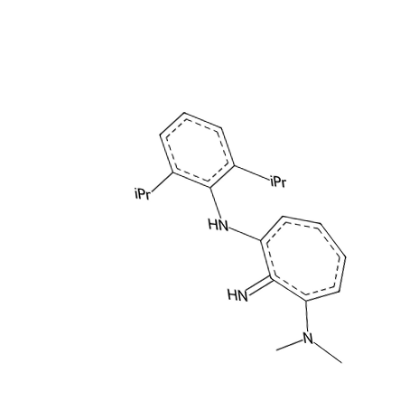 CC(C)c1cccc(C(C)C)c1Nc1ccccc(N(C)C)c1=N